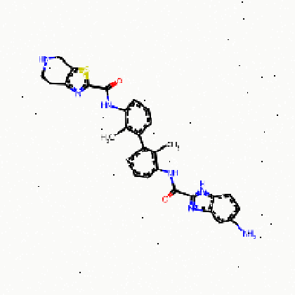 Cc1c(NC(=O)c2nc3cc(N)ccc3[nH]2)cccc1-c1cccc(NC(=O)c2nc3c(s2)CNCC3)c1C